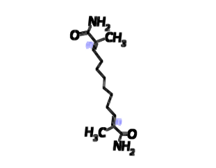 C/C(=C\CCCCCC/C=C(\C)C(N)=O)C(N)=O